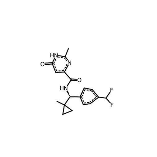 Cc1nc(C(=O)N[C@@H](c2ccc(C(F)F)cc2)C2(C)CC2)cc(=O)[nH]1